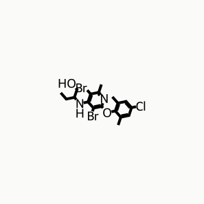 CCC(CO)Nc1c(Br)c(C)nc(Oc2c(C)cc(Cl)cc2C)c1Br